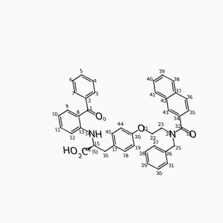 O=C(c1ccccc1)c1ccccc1N[C@@H](Cc1ccc(OCCN(Cc2ccccc2)C(=O)c2ccc3ccccc3c2)cc1)C(=O)O